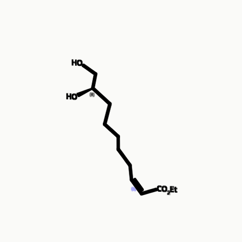 CCOC(=O)/C=C\CCCCC[C@@H](O)CO